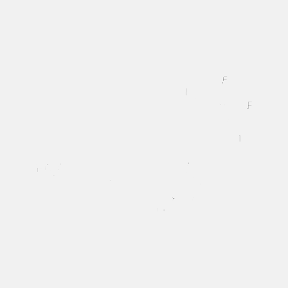 O=C(O)CCCCCCC1C(=O)CCC1/C=C/c1c(F)c(F)c(F)c(F)c1F